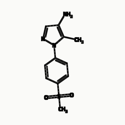 Cc1c(N)cnn1-c1ccc(S(C)(=O)=O)cc1